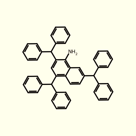 Nc1c(C(c2ccccc2)c2ccccc2)cc(C(c2ccccc2)c2ccccc2)c2ccc(C(c3ccccc3)c3ccccc3)cc12